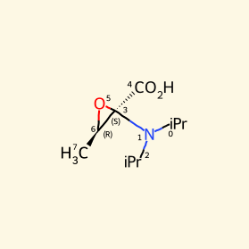 CC(C)N(C(C)C)[C@]1(C(=O)O)O[C@@H]1C